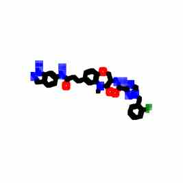 CN1C(=O)C(NC(=O)c2ncn(Cc3ccccc3F)n2)COc2ccc(CCC(=O)Nc3ccc4cn[nH]c4c3)cc21